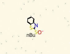 CCCC[S+]([O-])c1nc2ccccc2s1